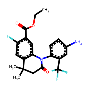 CCOC(=O)c1cc2c(cc1F)C(C)(C)CC(=O)N2c1ccc(N)cc1C(F)(F)F